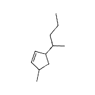 CCCC(C)C1C=CC(C)C1